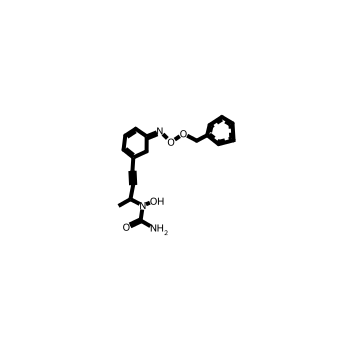 CC(C#CC1=CC=CC(=NOOCc2ccccc2)C1)N(O)C(N)=O